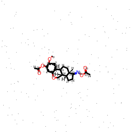 COc1cc2c(cc1OC(C)=O)OC[C@@H]1[C@@H]2CC[C@]2(C)C(=NOC(C)=O)CC[C@@H]12